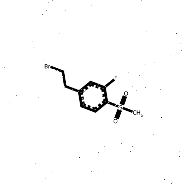 CS(=O)(=O)c1ccc(CCBr)cc1F